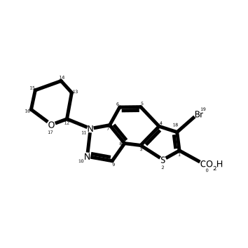 O=C(O)c1sc2c(ccc3c2cnn3C2CCCCO2)c1Br